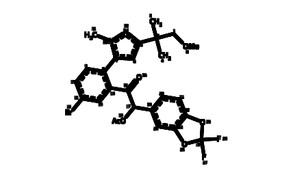 COCC(C)(C)c1cc(-c2ccc(Br)cc2C(=O)C(OC(C)=O)c2ccc3c(c2)OC(F)(F)O3)n(C)n1